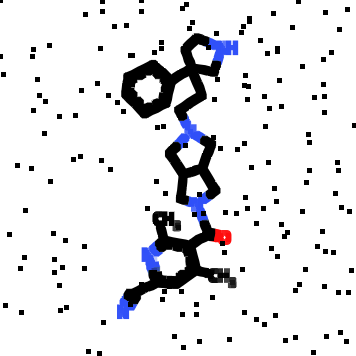 Cc1cc(C#N)nc(C)c1C(=O)N1CC2CN(CCC3(c4ccccc4)CCNC3)CC2C1